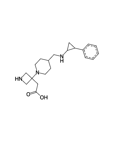 O=C(O)CC1(N2CCC(CNC3CC3c3ccccc3)CC2)CNC1